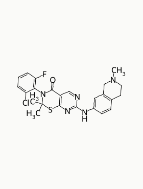 CN1CCc2ccc(Nc3ncc4c(n3)SC(C)(C)N(c3c(F)cccc3Cl)C4=O)cc2C1